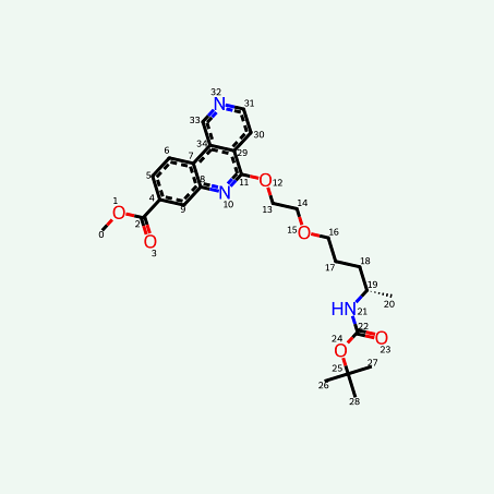 COC(=O)c1ccc2c(c1)nc(OCCOCCC[C@H](C)NC(=O)OC(C)(C)C)c1ccncc12